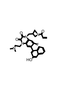 C=CC(=O)N1CC(Cn2c(=O)c(=O)n(CCN(C)C)c3cc(-c4cc(O)cc5ccccc45)c(F)cc32)C1